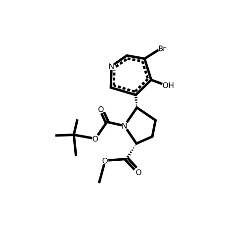 COC(=O)[C@H]1CC[C@@H](c2cncc(Br)c2O)N1C(=O)OC(C)(C)C